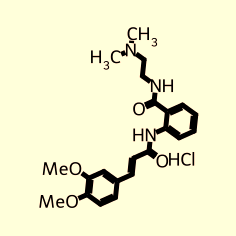 COc1ccc(C=CC(=O)Nc2ccccc2C(=O)NCCN(C)C)cc1OC.Cl